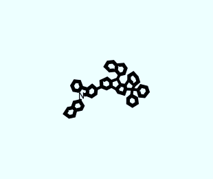 c1ccc(C2(c3ccccc3)c3ccccc3-c3c2ccc2c3C(c3cccc4ccccc34)c3ccc(-c4ccc5c(c4)c4ccccc4n5-c4ccc5ccccc5c4)cc3-2)cc1